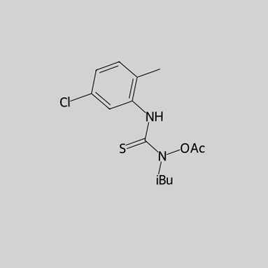 CCC(C)N(OC(C)=O)C(=S)Nc1cc(Cl)ccc1C